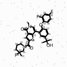 Cn1cc(-c2cc(C(C)(C)O)ccc2Oc2ccc(F)cc2F)c2sc(C(=O)N3CCCC(C)(F)C3)cc2c1=O